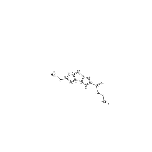 CCOC(=O)c1cc2sc3cc(CC)sc3c2s1